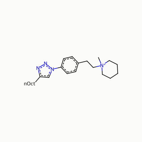 CCCCCCCCc1cn(-c2ccc(CC[N+]3(C)CCCCC3)cc2)nn1